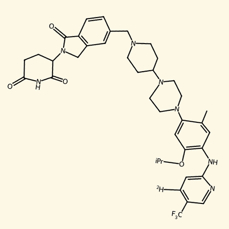 [2H]c1cc(Nc2cc(C)c(N3CCN(C4CCN(Cc5ccc6c(c5)CN(C5CCC(=O)NC5=O)C6=O)CC4)CC3)cc2OC(C)C)ncc1C(F)(F)F